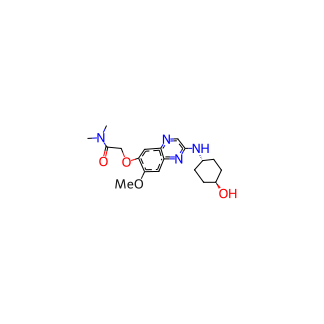 COc1cc2nc(N[C@H]3CC[C@H](O)CC3)cnc2cc1OCC(=O)N(C)C